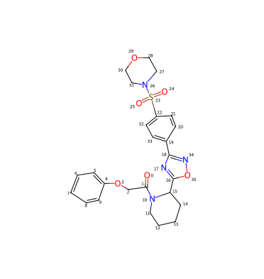 O=C(COc1ccccc1)N1CCCCC1c1nc(-c2ccc(S(=O)(=O)N3CCOCC3)cc2)no1